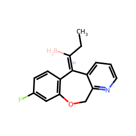 B/C(CC)=C1\c2ccc(F)cc2OCc2ncccc21